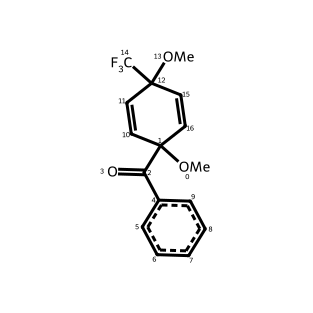 COC1(C(=O)c2ccccc2)C=CC(OC)(C(F)(F)F)C=C1